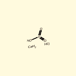 Cl.[CaH2].[O]=[V](=[O])[OH]